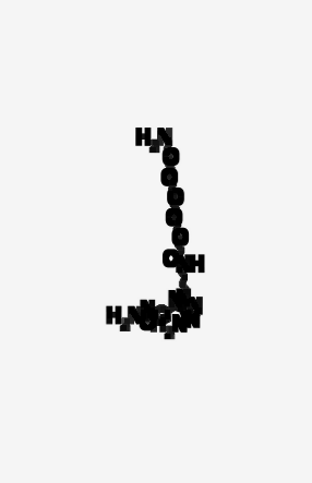 NCCOCCOCCOCCOCCOCCC(=O)NCCCCn1nc(-c2ccc3oc(N)nc3c2)c2c(N)ncnc21